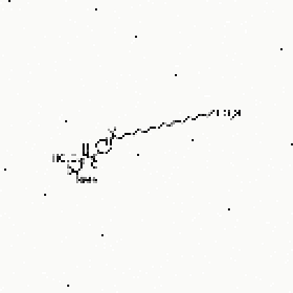 CNC(=O)C[C@@H](NC(=O)C1CCN(C(=O)CCCCCCCCCCCCCCCCC(=O)O)CC1)C(=O)O